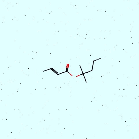 CC(C)(CCC#N)OC(=O)/C=C/C(=O)O